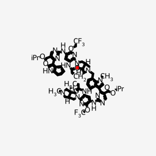 C=CC(=O)Nc1cc(Nc2ncc(C(=O)OC(C)C)c(-c3c[nH]c4ccccc34)n2)c(OCC(F)(F)F)nc1N1C[C@H]2CN(Cc3cccc4c(-c5nc(Nc6cc(NC(=O)C=C)c(N7C[C@H]8CN(C)C[C@H]8C7)nc6OC(F)(F)F)ncc5C(=O)OC(C)C)cn(C)c34)C[C@H]2C1